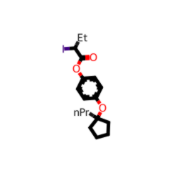 CCCC1(Oc2ccc(OC(=O)C(I)CC)cc2)CCCC1